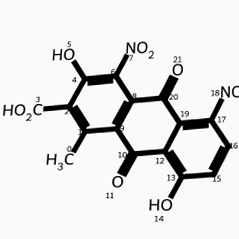 Cc1c(C(=O)O)c(O)c([N+](=O)[O-])c2c1C(=O)c1c(O)ccc([N+](=O)[O-])c1C2=O